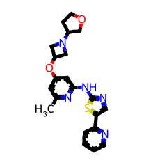 Cc1cc(OC2CN(C3CCOC3)C2)cc(Nc2ncc(-c3ccccn3)s2)n1